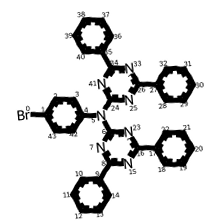 Brc1ccc(N(c2nc(-c3ccccc3)nc(-c3ccccc3)n2)c2nc(-c3ccccc3)nc(-c3ccccc3)n2)cc1